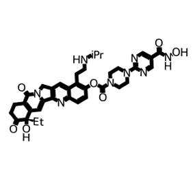 CC[C@@]1(O)C(=O)CCc2c1cc1n(c2=O)Cc2cc3c(CCNC(C)C)c(OC(=O)N4CCN(c5ncc(C(=O)NO)cn5)CC4)ccc3nc2-1